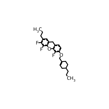 CCCc1cc2c(c(F)c1F)Oc1c(ccc(OCC3=CCC(CCC)CC3)c1F)C2